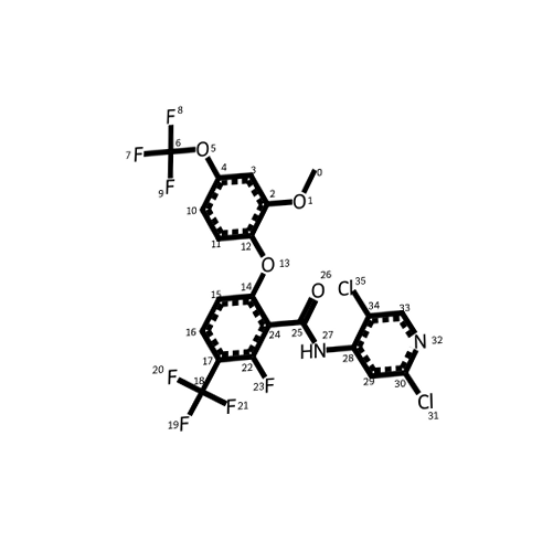 COc1cc(OC(F)(F)F)ccc1Oc1ccc(C(F)(F)F)c(F)c1C(=O)Nc1cc(Cl)ncc1Cl